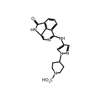 O=C1Nc2cnc(Nc3cnn(C4CCN(C(=O)O)CC4)c3)c3cccc1c23